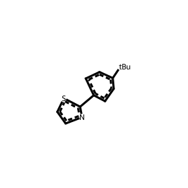 CC(C)(C)c1ccc(-c2nccs2)cc1